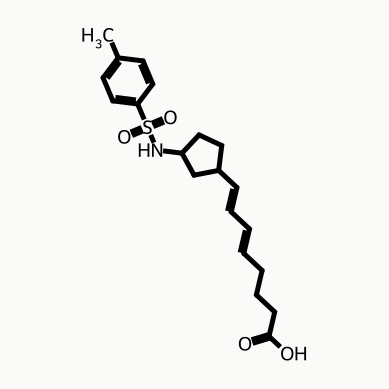 Cc1ccc(S(=O)(=O)NC2CCC(C=CC=CCCCC(=O)O)C2)cc1